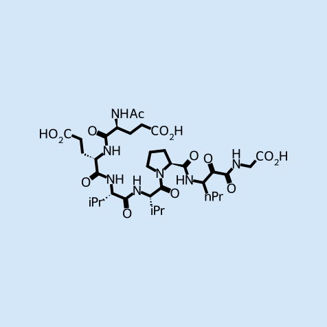 CCCC(NC(=O)[C@@H]1CCCN1C(=O)[C@@H](NC(=O)[C@@H](NC(=O)[C@H](CCC(=O)O)NC(=O)[C@H](CCC(=O)O)NC(C)=O)C(C)C)C(C)C)C(=O)C(=O)NCC(=O)O